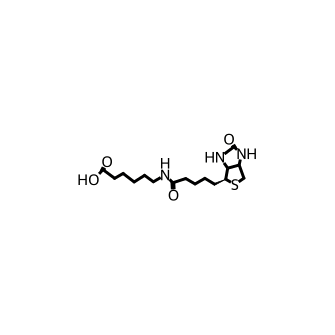 O=C(O)CCCCCNC(=O)CCCC[C@@H]1SCC2NC(=O)NC21